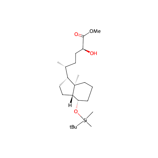 COC(=O)[C@@H](O)CC[C@@H](C)[C@H]1CC[C@H]2[C@@H](O[Si](C)(C)C(C)(C)C)CCC[C@]12C